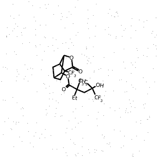 CCC(C)(CC(O)(C(F)(F)F)C(F)(F)F)C(=O)OC1C2CC3C1OC(=O)C3(C(F)(F)F)C2